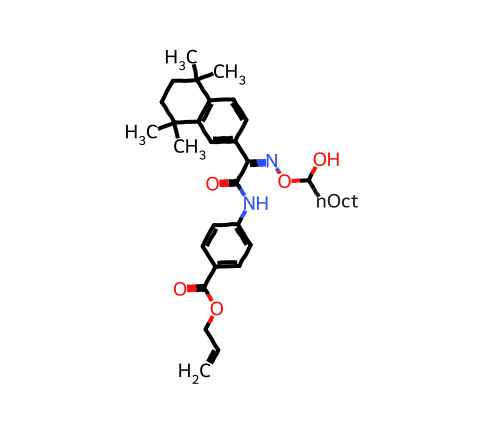 C=CCOC(=O)c1ccc(NC(=O)C(=NOC(O)CCCCCCCC)c2ccc3c(c2)C(C)(C)CCC3(C)C)cc1